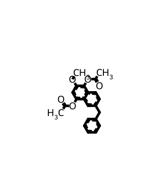 COc1cc(OC(C)=O)c2cc(Cc3ccccc3)ccc2c1OC(C)=O